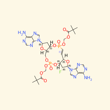 CC(C)(C)C(=O)OCOP1(=O)/C=C/[C@H]2O[C@@H](n3cnc4c(N)ncnc43)[C@H](F)[C@@H]2OP(=O)(OCOC(=O)C(C)(C)C)OC[C@H]2O[C@@H](n3cnc4c(N)ncnc43)C[C@@H]2O1